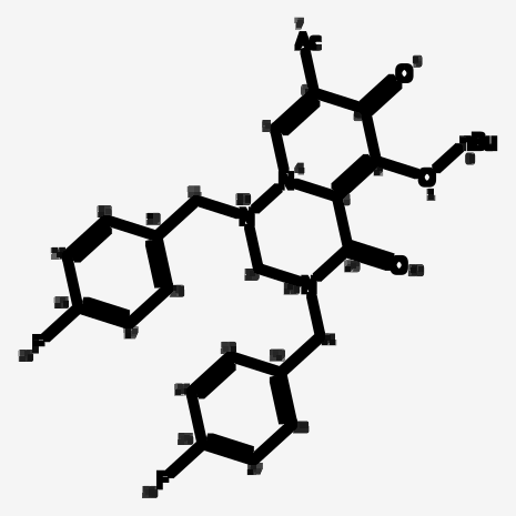 CCCCOc1c2n(cc(C(C)=O)c1=O)N(Cc1ccc(F)cc1)CN(Cc1ccc(F)cc1)C2=O